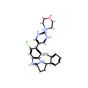 CCc1ccccc1C1CCc2nc3cc(F)c(-c4cnc(N5CCOCC5)nc4)cc3n21